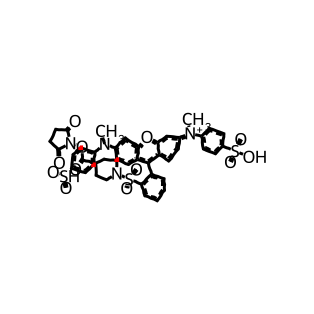 CN(c1ccc([SH](=O)=O)cc1)c1ccc2c(-c3ccccc3S(=O)(=O)N3CCC(C(=O)ON4C(=O)CCC4=O)CC3)c3cc/c(=[N+](/C)c4ccc(S(=O)(=O)O)cc4)cc-3oc2c1